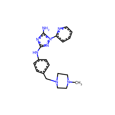 CN1CCN(Cc2ccc(Nc3nc(N)n(-c4ccccn4)n3)cc2)CC1